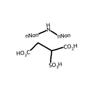 CCCCCCCCCNCCCCCCCCC.O=C(O)CC(C(=O)O)S(=O)(=O)O